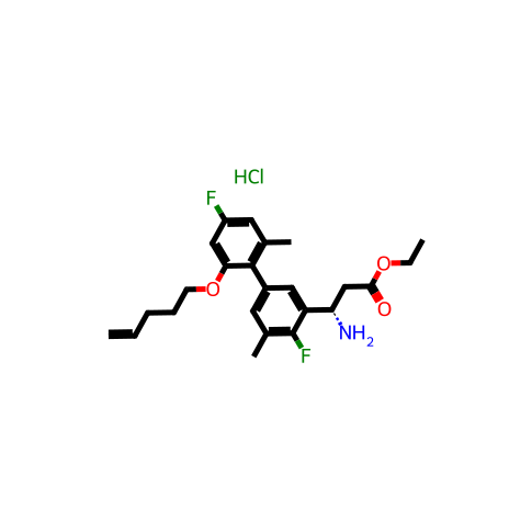 C=CCCCOc1cc(F)cc(C)c1-c1cc(C)c(F)c([C@@H](N)CC(=O)OCC)c1.Cl